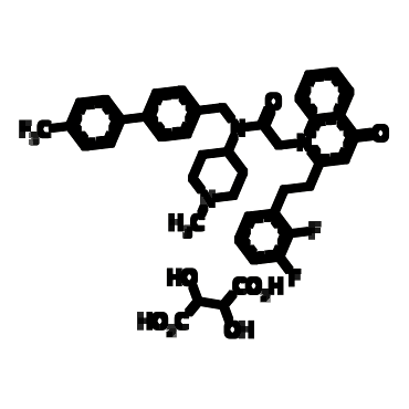 CN1CCC(N(Cc2ccc(-c3ccc(C(F)(F)F)cc3)cc2)C(=O)Cn2c(CCc3cccc(F)c3F)cc(=O)c3ccccc32)CC1.O=C(O)C(O)C(O)C(=O)O